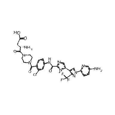 Cn1c(-c2cn(-c3ccc(N)cn3)nc2C(F)(F)F)cnc1C(=O)Nc1ccc(C(=O)N2CCN(C(=O)[C@@H](N)CC(=O)O)CC2)c(Cl)c1